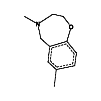 Cc1ccc2c(c1)CN(C)CCO2